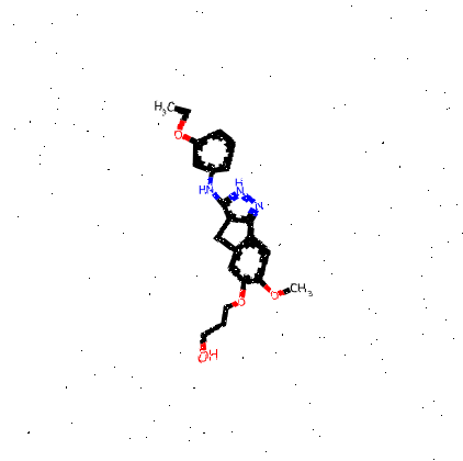 CCOc1cccc(Nc2[nH]nc3c2Cc2cc(OCCCO)c(OC)cc2-3)c1